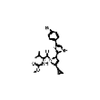 COC(=O)N[C@H](C(=O)N1CC(C2CC2)=CC1c1nc(-c2ccc(Br)cc2)c[nH]1)C(C)C